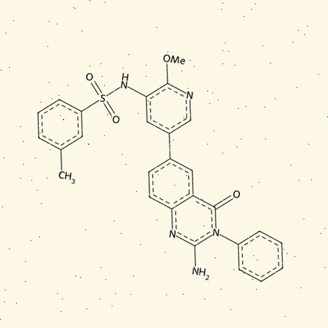 COc1ncc(-c2ccc3nc(N)n(-c4ccccc4)c(=O)c3c2)cc1NS(=O)(=O)c1cccc(C)c1